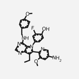 CCc1c(-c2ncc(N)cc2OC)n(-c2ccc(O)c(F)c2)c2c(NCc3ccc(OC)cc3)ncnc12